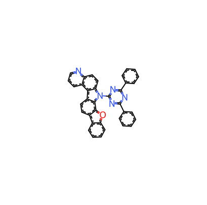 c1ccc(-c2nc(-c3ccccc3)nc(-n3c4ccc5ncccc5c4c4ccc5c6ccccc6oc5c43)n2)cc1